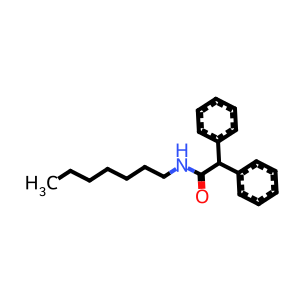 CCCCCCCNC(=O)C(c1ccccc1)c1ccccc1